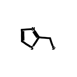 [S]Cc1nccs1